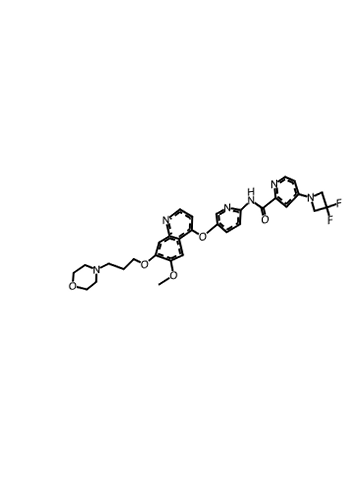 COc1cc2c(Oc3ccc(NC(=O)c4cc(N5CC(F)(F)C5)ccn4)nc3)ccnc2cc1OCCCN1CCOCC1